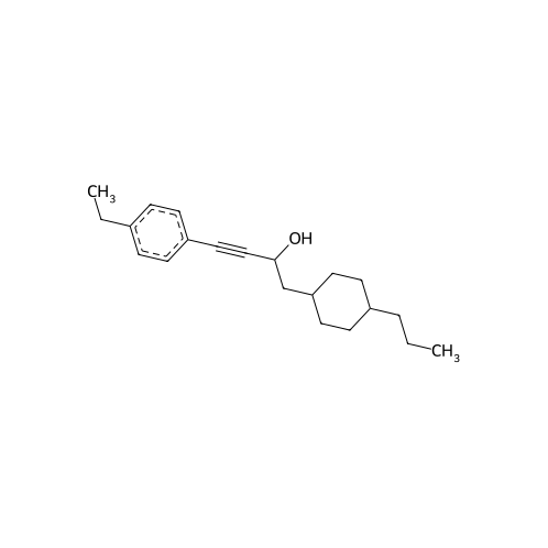 CCCC1CCC(CC(O)C#Cc2ccc(CC)cc2)CC1